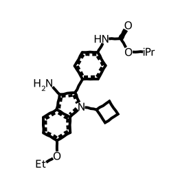 CCOc1ccc2c(N)c(-c3ccc(NC(=O)OC(C)C)cc3)n(C3CCC3)c2c1